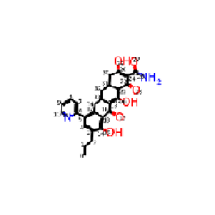 CCCc1cc(-c2ccccn2)c2c(c1O)C(=O)C1=C(O)C3C(=O)C(C(N)=O)=C(O)CC3CC1C2